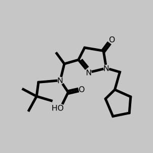 CC(C1=NN(CC2CCCC2)C(=O)C1)N(CC(C)(C)C)C(=O)O